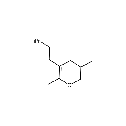 CC1=C(CCC(C)C)CC(C)CO1